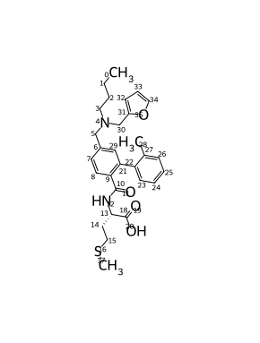 CCCCN(Cc1ccc(C(=O)N[C@@H](CCSC)C(=O)O)c(-c2ccccc2C)c1)Cc1ccco1